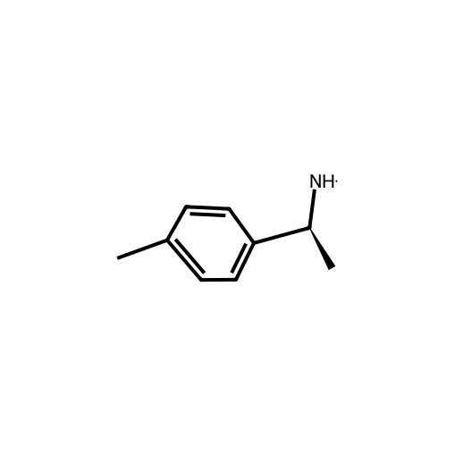 Cc1ccc([C@H](C)[NH])cc1